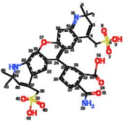 CC1(C)C=C(CS(=O)(=O)O)c2cc3c(cc2=N1)Oc1cc2c(cc1C=3c1ccc(C(N)=O)c(C(=O)O)c1)C(CS(=O)(=O)O)=CC(C)(C)N2